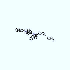 CCCCCOc1ccc(OC(=O)/C(=C/c2cc3sc(/N=N/c4ccc(N5CCCCC5)cc4)nc3s2)C2Cc3ccccc3C2=O)cc1